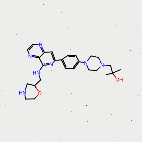 CC(C)(O)CN1CCN(c2ccc(-c3cc4nccnc4c(NCC4CNCCO4)n3)cc2)CC1